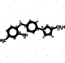 Cc1ccc(Oc2ccc(-n3cc(C(=O)O)nn3)cc2)c(O)c1